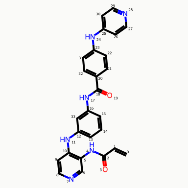 C=CC(=O)Nc1cnccc1Nc1cccc(NC(=O)c2ccc(Nc3ccncc3)cc2)c1